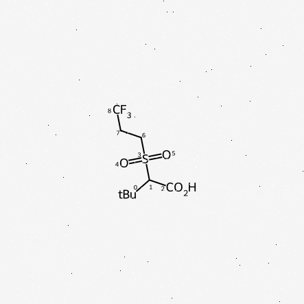 CC(C)(C)C(C(=O)O)S(=O)(=O)CCC(F)(F)F